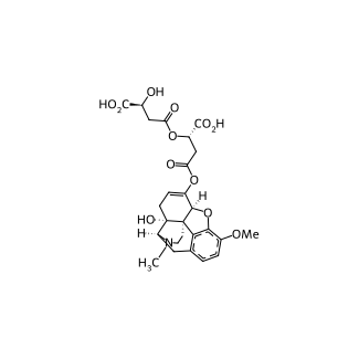 COc1ccc2c3c1O[C@@H]1C(OC(=O)C[C@H](OC(=O)C[C@H](O)C(=O)O)C(=O)O)=CC[C@]4(O)[C@H](C2)N(C)CC[C@@]314